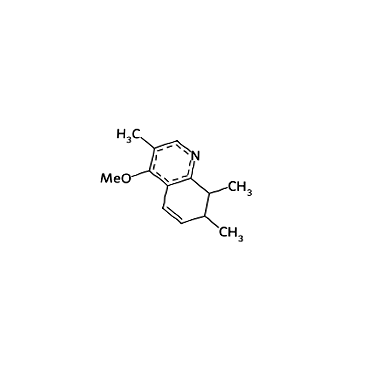 COc1c(C)cnc2c1C=CC(C)C2C